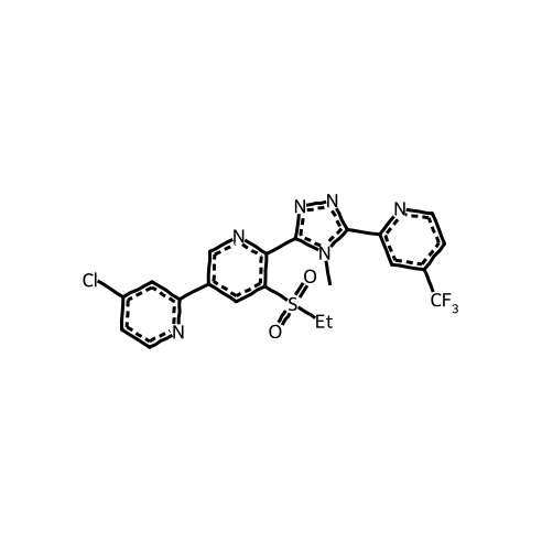 CCS(=O)(=O)c1cc(-c2cc(Cl)ccn2)cnc1-c1nnc(-c2cc(C(F)(F)F)ccn2)n1C